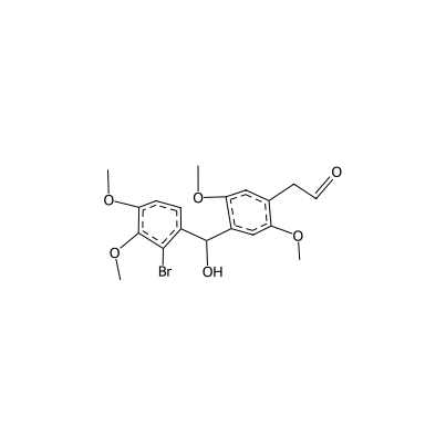 COc1cc(C(O)c2ccc(OC)c(OC)c2Br)c(OC)cc1CC=O